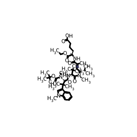 CCOC(=O)[C@@H](CCCC(=O)O)NC(=O)/C(C)=C/[C@H](C(C)C)N(C)C(=O)[C@@H](NC(=O)[C@@H](N(C)C(=O)OC(C)(C)C)C(C)(C)c1cn(C)c2ccccc12)C(C)(C)C